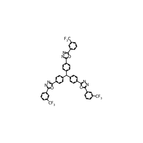 FC(F)(F)c1cccc(-c2nnc(-c3ccc(C(c4ccc(-c5nnc(-c6cccc(C(F)(F)F)c6)o5)cc4)c4ccc(-c5nnc(-c6cccc(C(F)(F)F)c6)o5)cc4)cc3)o2)c1